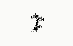 CCC[N+]1(CCCCCC(O)[N+]2(CCC)CC(CC)C(CC)C2)CC(CC)C(CC)C1